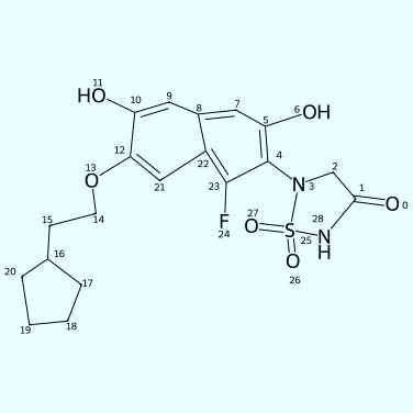 O=C1CN(c2c(O)cc3cc(O)c(OCCC4CCCC4)cc3c2F)S(=O)(=O)N1